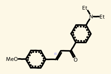 CCN(CC)c1ccc(C(=O)/C=C/c2ccc(OC)cc2)cc1